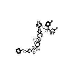 CC(C)N(CC(F)F)C(=O)c1cc(F)ccc1Oc1cncnc1N1CC2(CCN(C[C@@]3(O)CC[C@@H](NS(=O)(=O)N4CC(OCc5ccccc5)C4)CO3)CC2)C1